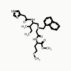 CCC(C)C(CN(CC(=O)NC(CCSC)C(=O)OC)Cc1cccc2ccccc12)NC(=O)Cc1c[nH]cn1